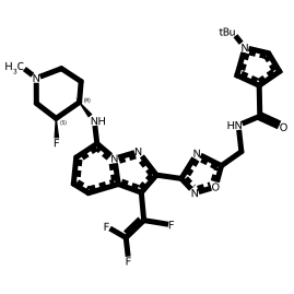 CN1CC[C@@H](Nc2cccc3c(C(F)=C(F)F)c(-c4noc(CNC(=O)c5ccn(C(C)(C)C)c5)n4)nn23)[C@@H](F)C1